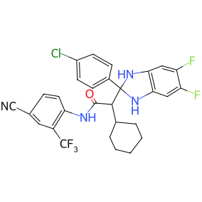 N#Cc1ccc(NC(=O)C(C2CCCCC2)C2(c3ccc(Cl)cc3)Nc3cc(F)c(F)cc3N2)c(C(F)(F)F)c1